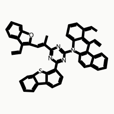 C=CC1=c2c(ccc/c2=C/C)N(c2nc(/C(C)=C/c3oc4ccccc4c3C=C)nc(-c3cccc4c3sc3ccccc34)n2)c2ccc3ccccc3c21